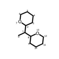 CC(C1CCCCO1)C1CCCCO1